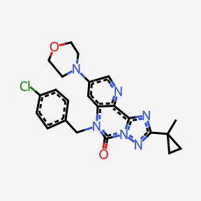 CC1(c2nc3c4ncc(N5CCOCC5)cc4n(Cc4ccc(Cl)cc4)c(=O)n3n2)CC1